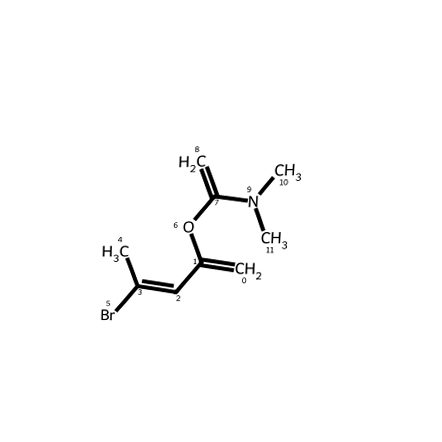 C=C(/C=C(\C)Br)OC(=C)N(C)C